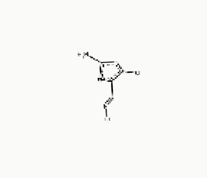 Nc1nc(C=NO)c(Cl)s1